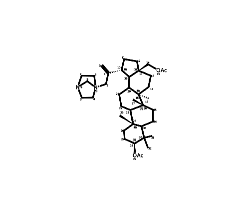 C=C(C[N+]12CCN(CC1)C2)[C@@H]1CC[C@]2(COC(C)=O)CC[C@]3(C)C(CCC4[C@@]5(C)CC[C@H](OC(C)=O)C(C)(C)C5CC[C@]43C)C12